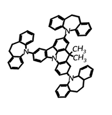 CC1(C)C2=C(C=CC(N3c4ccccc4CCC4C=CC=CC43)C2)n2c3ccc(N4c5ccccc5CCc5ccccc54)cc3c3cc(N4c5ccccc5CCc5ccccc54)cc1c32